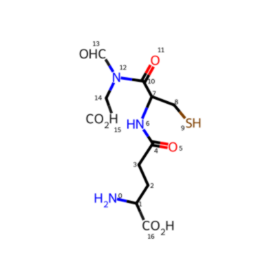 NC(CCC(=O)NC(CS)C(=O)N(C=O)CC(=O)O)C(=O)O